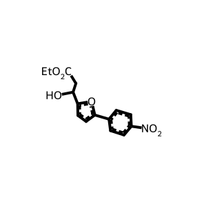 CCOC(=O)CC(O)c1ccc(-c2ccc([N+](=O)[O-])cc2)o1